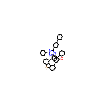 c1ccc(-c2ccc(-c3nc(-c4ccccc4)nc(-c4cc(-c5cccc6sc7cccc(-c8ccccc8)c7c56)cc5oc6ccccc6c45)n3)cc2)cc1